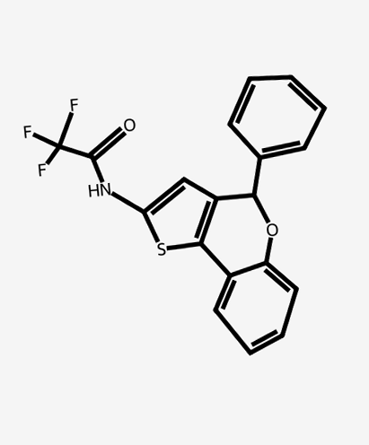 O=C(Nc1cc2c(s1)-c1ccccc1OC2c1ccccc1)C(F)(F)F